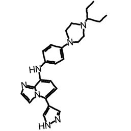 CCC(CC)N1CCN(c2ccc(Nc3ccc(-c4cn[nH]c4)n4ccnc34)cc2)CC1